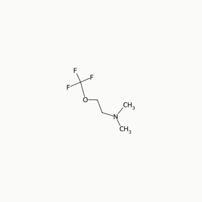 CN(C)CCOC(F)(F)F